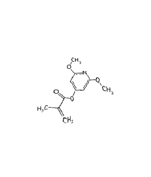 C=C(C)C(=O)Oc1cc(OC)nc(OC)c1